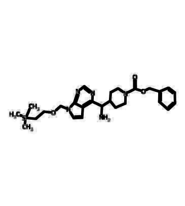 C[Si](C)(C)CCOCn1ccc2c(C(N)C3CCN(C(=O)OCc4ccccc4)CC3)ncnc21